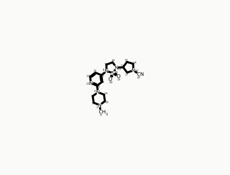 CN1CCN(c2cc(N3CCN(C4CCN(C#N)C4)S3(=O)=O)ccn2)CC1